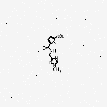 Cn1cnc(CNC(=O)c2ccc(C(C)(C)C)s2)n1